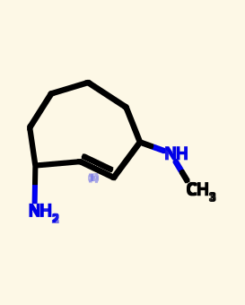 CNC1/C=C/C(N)CCCC1